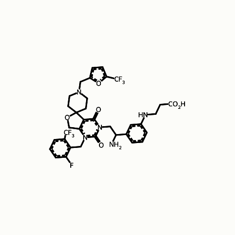 NC(Cn1c(=O)c2c(n(Cc3c(F)cccc3C(F)(F)F)c1=O)COC21CCN(Cc2ccc(C(F)(F)F)o2)CC1)c1cccc(NCCC(=O)O)c1